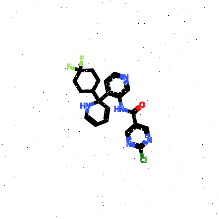 O=C(Nc1cnccc1C1(C2CCC(F)(F)CC2)C=CC=CN1)c1cnc(Cl)nc1